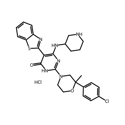 CC1(c2ccc(Cl)cc2)CN(c2nc(NC3CCCNC3)c(-c3nc4ccccc4s3)c(=O)[nH]2)CCO1.Cl